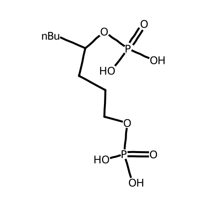 CCCCC(CCCOP(=O)(O)O)OP(=O)(O)O